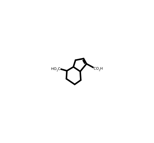 O=C(O)C1=CCC2C(C(=O)O)CCCC12